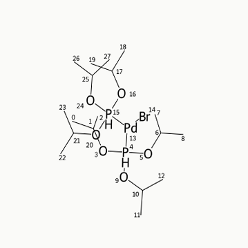 CC(C)O[PH](OC(C)C)(OC(C)C)[Pd]([Br])[PH](OC(C)C)(OC(C)C)OC(C)C